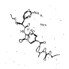 CCON=C(C(=O)NC1C(=O)N2C=C(C(=O)OC(C)OC(=O)OCC)CS[C@H]12)c1csc(N)n1.Cl